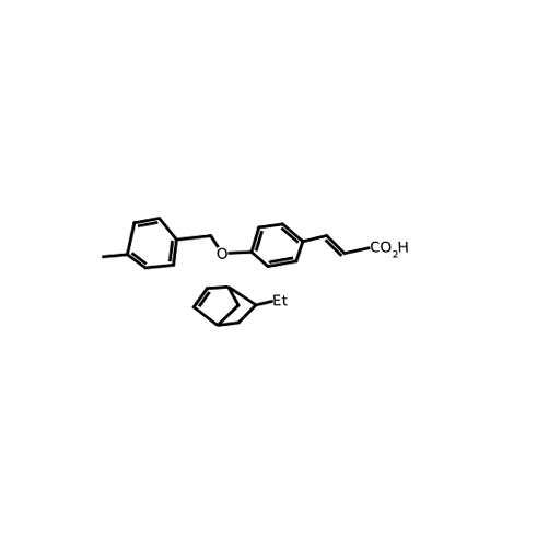 CCC1CC2C=CC1C2.Cc1ccc(COc2ccc(C=CC(=O)O)cc2)cc1